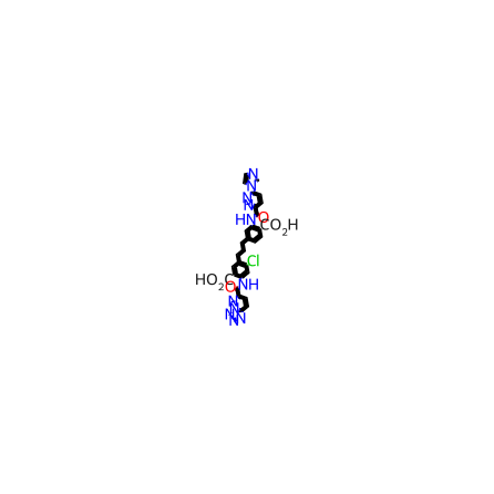 O=C(Nc1cc(CCCc2cc(C(=O)O)c(NC(=O)c3ccc4nnnn4n3)cc2Cl)ccc1C(=O)O)c1ccc(-n2ccnc2)nn1